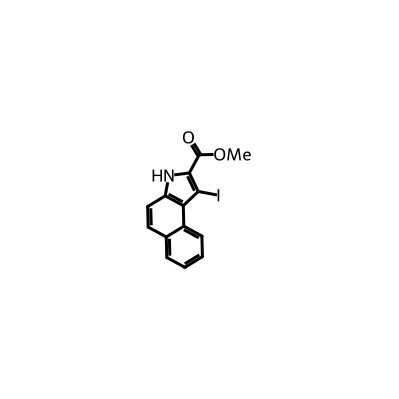 COC(=O)c1[nH]c2ccc3ccccc3c2c1I